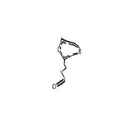 O=COCc1nccs1